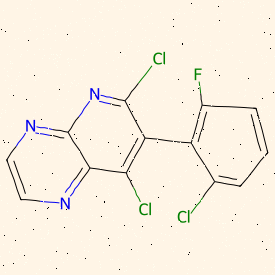 Fc1cccc(Cl)c1-c1c(Cl)nc2nccnc2c1Cl